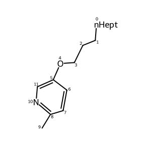 CCCCCCCCCCOc1ccc(C)nc1